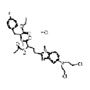 CCOC(=O)C(Cc1ccc(F)cc1)NC(=O)C(CCc1nc2cc(N(CCCl)CCCl)ccc2n1C)NC(C)=O.Cl